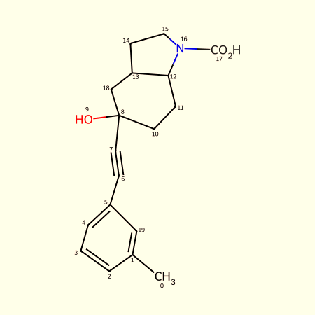 Cc1cccc(C#CC2(O)CCC3C(CCN3C(=O)O)C2)c1